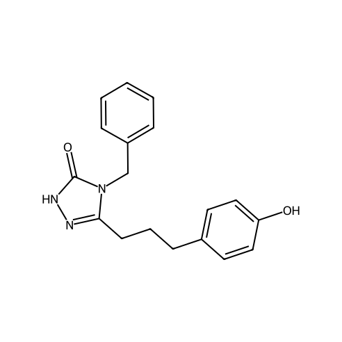 O=c1[nH]nc(CCCc2ccc(O)cc2)n1Cc1ccccc1